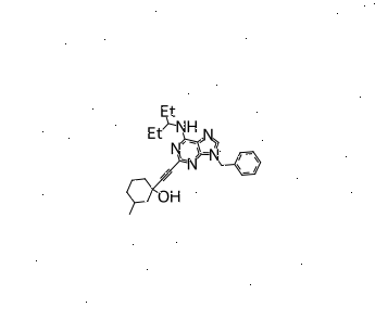 CCC(CC)Nc1nc(C#CC2(O)CCCC(C)C2)nc2c1ncn2Cc1ccccc1